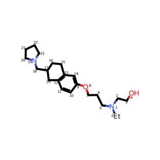 CCN(CCO)CCCOc1ccc2c(c1)CCC(CN1CCCC1)C2